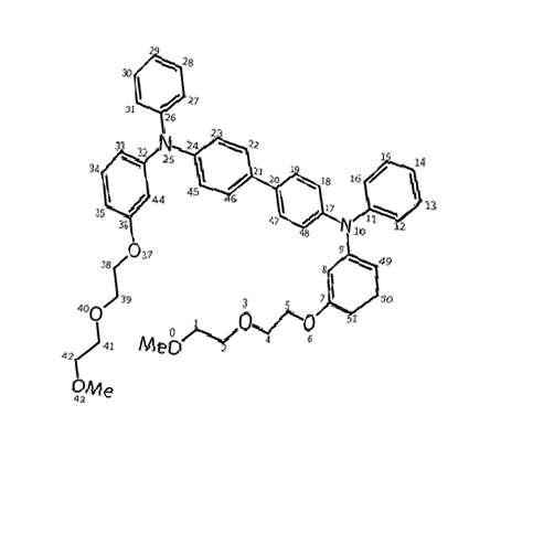 COCCOCCOC1=CC(N(c2ccccc2)c2ccc(-c3ccc(N(c4ccccc4)c4cccc(OCCOCCOC)c4)cc3)cc2)=CCC1